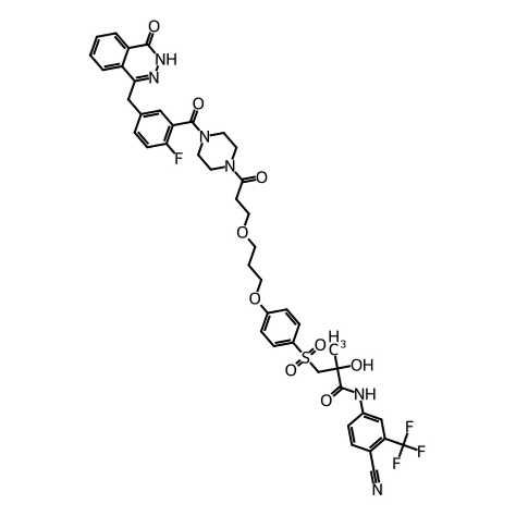 CC(O)(CS(=O)(=O)c1ccc(OCCCOCCC(=O)N2CCN(C(=O)c3cc(Cc4n[nH]c(=O)c5ccccc45)ccc3F)CC2)cc1)C(=O)Nc1ccc(C#N)c(C(F)(F)F)c1